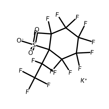 O=S(=O)([O-])C1(C(F)(F)C(F)(F)F)C(F)(F)C(F)(F)C(F)(F)C(F)(F)C1(F)F.[K+]